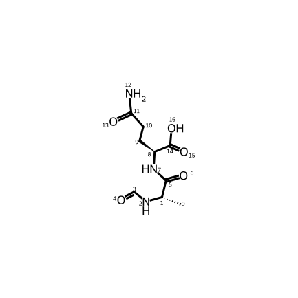 C[C@H](NC=O)C(=O)N[C@@H](CCC(N)=O)C(=O)O